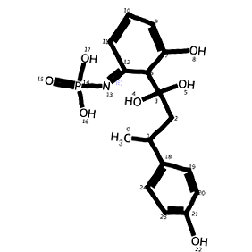 CC(CC(O)(O)C1C(O)=CC=C/C1=N\P(=O)(O)O)c1ccc(O)cc1